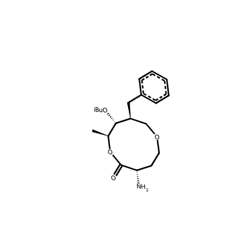 CC(C)CO[C@@H]1[C@@H](Cc2ccccc2)COCC[C@H](N)C(=O)O[C@H]1C